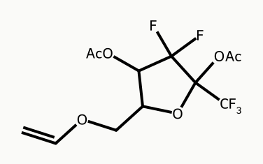 C=COCC1OC(OC(C)=O)(C(F)(F)F)C(F)(F)C1OC(C)=O